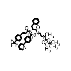 CN(CCN(C)C(=O)C(Cc1ccccc1)N(Cc1ccc(-c2ccccn2)cc1)C(=O)C=Cc1ccc(C(F)(F)F)cc1)C(=O)OC(C)(C)C